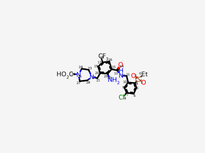 CCS(=O)(=O)c1ccc(Cl)cc1CNC(=O)c1cc(C(F)(F)F)cc(CN2CCN(C(=O)O)CC2)c1N